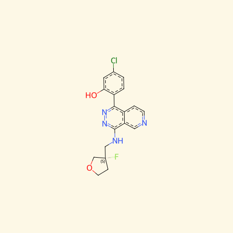 Oc1cc(Cl)ccc1-c1nnc(NC[C@@]2(F)CCOC2)c2cnccc12